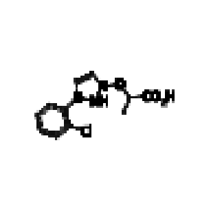 CC(ON1C=CN(c2ccccc2Cl)N1)C(=O)O